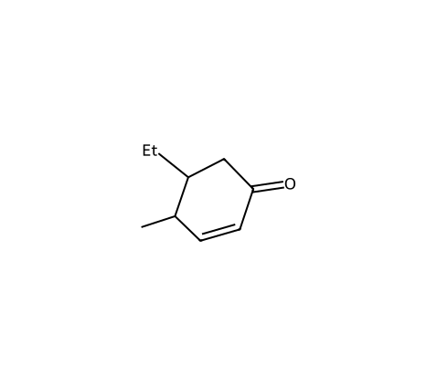 CCC1CC(=O)C=CC1C